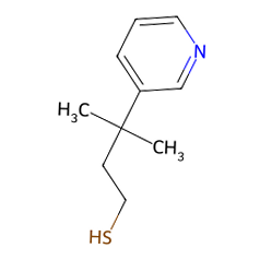 CC(C)(CCS)c1cccnc1